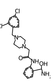 NC(O)c1ccccc1NC(=O)CN1CCN(Cc2ccc(Cl)cc2Cl)CC1